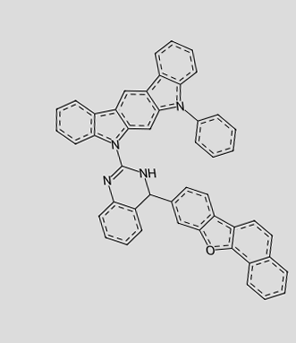 c1ccc(-n2c3ccccc3c3cc4c5ccccc5n(C5=Nc6ccccc6C(c6ccc7c(c6)oc6c8ccccc8ccc76)N5)c4cc32)cc1